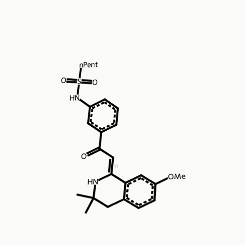 CCCCCS(=O)(=O)Nc1cccc(C(=O)/C=C2\NC(C)(C)Cc3ccc(OC)cc32)c1